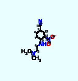 CN(C)CCNc1ccc(C#N)cc1[N+](=O)[O-]